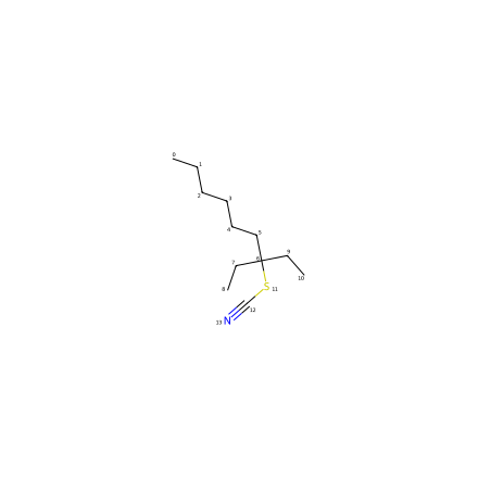 CCCCCCC(CC)(CC)SC#N